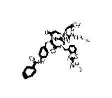 C#CCN(C(=O)NC)N1CC(=O)N2[C@@H](Cc3ccc(NC(=O)c4ccccc4)cc3)C(=O)N(Cc3cccc4sc(N)nc34)C[C@@H]21